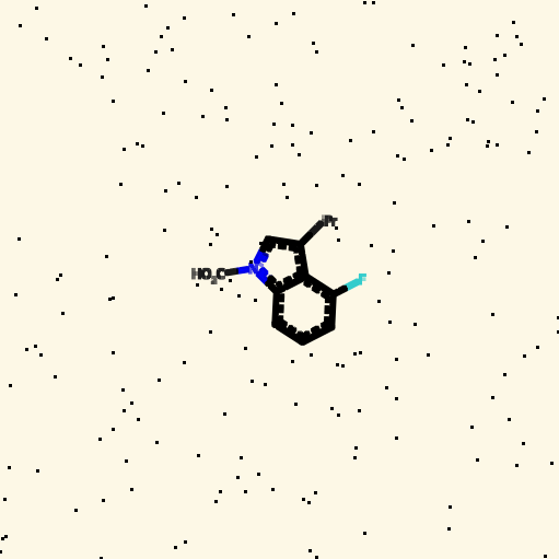 CC(C)c1cn(C(=O)O)c2cccc(F)c12